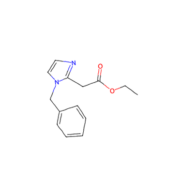 CCOC(=O)Cc1nccn1Cc1ccccc1